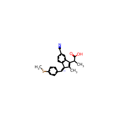 CSc1ccc(/C=C2/C(C)=C(C(C)C(=O)O)c3cc(C#N)ccc32)cc1